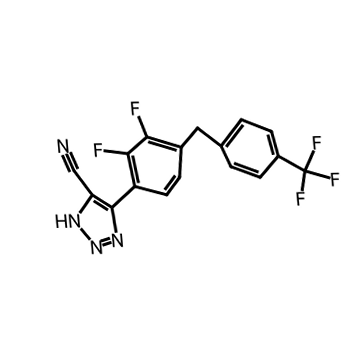 N#Cc1[nH]nnc1-c1ccc(Cc2ccc(C(F)(F)F)cc2)c(F)c1F